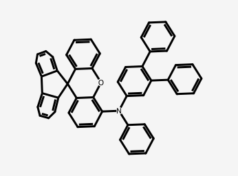 c1ccc(-c2ccc(N(c3ccccc3)c3cccc4c3Oc3ccccc3C43c4ccccc4-c4ccccc43)cc2-c2ccccc2)cc1